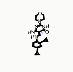 N=C1N=C(N2CCOCC2)NC(=O)/C1=C/Nc1ccc(C2CC2)cc1C1CC1